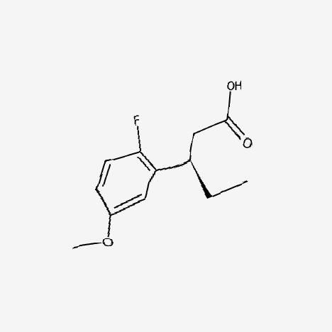 CC[C@H](CC(=O)O)c1cc(OC)ccc1F